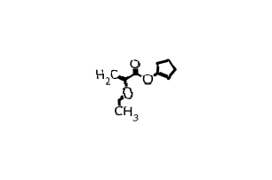 C=C(OCC)C(=O)OC1=CCCC1